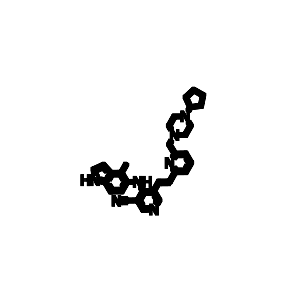 Cc1c(Nc2c(C#N)cncc2C=Cc2cccc(CN3CCN(C4CCCC4)CC3)n2)ccc2[nH]ccc12